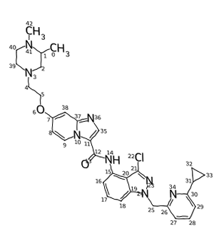 CC1CN(CCOc2ccn3c(C(=O)Nc4cccc5c4c(Cl)nn5Cc4cccc(C5CC5)n4)cnc3c2)CCN1C